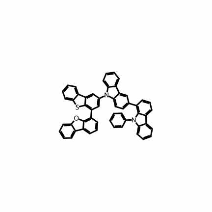 c1ccc(-n2c3ccccc3c3cccc(-c4ccc5c(c4)c4ccccc4n5-c4cc(-c5cccc6c5oc5ccccc56)c5sc6ccccc6c5c4)c32)cc1